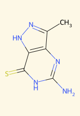 Cc1n[nH]c2c(=S)[nH]c(N)nc12